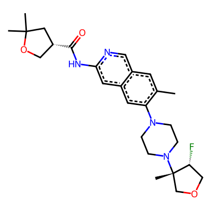 Cc1cc2cnc(NC(=O)[C@@H]3COC(C)(C)C3)cc2cc1N1CCN([C@@]2(C)COC[C@H]2F)CC1